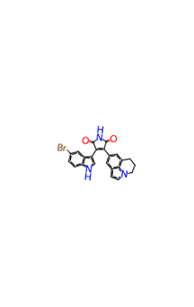 O=C1NC(=O)C(c2c[nH]c3ccc(Br)cc23)=C1c1cc2c3c(ccn3CCC2)c1